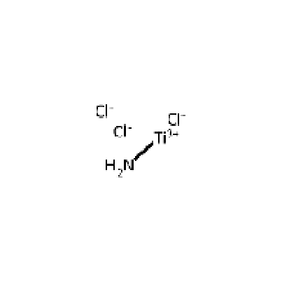 [Cl-].[Cl-].[Cl-].[NH2][Ti+3]